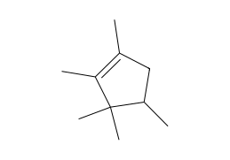 CC1=C(C)C(C)(C)C(C)C1